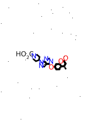 Cc1cc(=O)oc2cc(Oc3ncnc4c3cnn4C3CCN(C(=O)O)CC3)ccc12